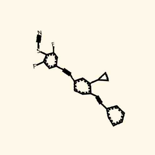 N#CSc1c(F)cc(C#Cc2ccc(C#Cc3ccccc3)c(C3CC3)c2)cc1F